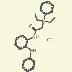 CC[N+](CC)(CC(=O)Nc1ccccc1Nc1ccccc1)c1ccccc1.[Cl-]